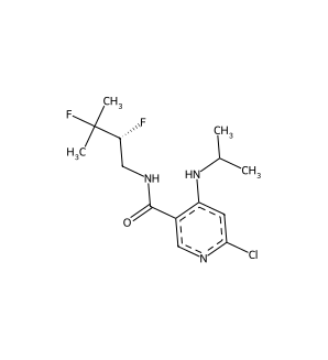 CC(C)Nc1cc(Cl)ncc1C(=O)NC[C@@H](F)C(C)(C)F